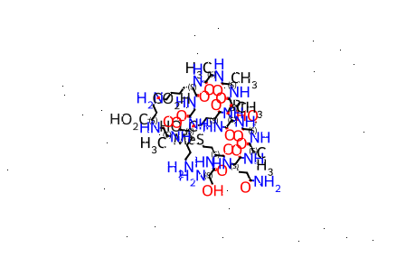 CSCC[C@H](NC(=O)[C@@H](N)CO)C(=O)N[C@@H](CCC(N)=O)C(=O)N[C@@H](C)C(=O)N[C@@H](CO)C(=O)N[C@@H](CC(C)C)C(=O)N[C@@H](CCC(=O)O)C(=O)N[C@@H](C)C(=O)N[C@@H](C)C(=O)N[C@@H](C)C(=O)N[C@@H](CCCCN)C(=O)NCC(=O)N[C@@H](CCCCN)C(=O)N[C@@H](C)C(=O)N[C@@H](CCC(=O)O)C(=O)O